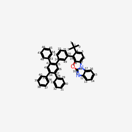 CC(C)(C)c1ccc2c(oc3nc4ccccc4n32)c1-c1cccc(-c2cc(-c3ccccc3)c(-c3ccccc3)cc2-c2ccccc2)c1